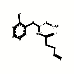 C=CCCC(=O)N[C@@H](CC(=O)O)Cc1ccccc1C